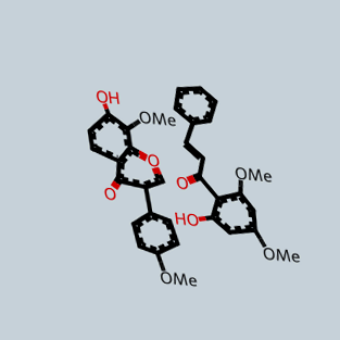 COc1cc(O)c(C(=O)C=Cc2ccccc2)c(OC)c1.COc1ccc(-c2coc3c(OC)c(O)ccc3c2=O)cc1